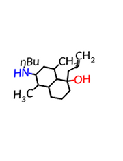 C=CCC1(O)CCCC2C(C)C(NCCCC)CC(C)C21